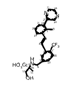 Cc1c(/C=C/c2cc(CN[C@@](C)(CO)C(=O)O)ccc2C(F)(F)F)cccc1-c1cnccn1